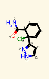 NC(=O)C1C=CC=CC1(Cl)c1cc[nH]n1